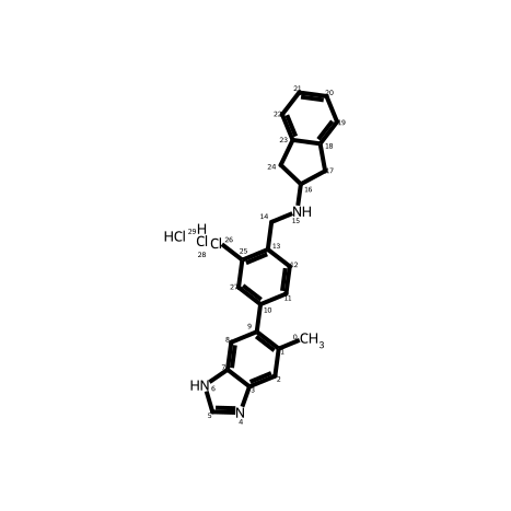 Cc1cc2nc[nH]c2cc1-c1ccc(CNC2Cc3ccccc3C2)c(Cl)c1.Cl.Cl